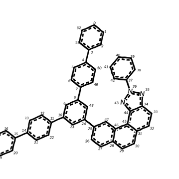 c1ccc(-c2ccc(-c3cc(-c4ccc(-c5ccccc5)cc4)cc(-c4ccc5ccc6ccc7nn(-c8ccccc8)nc7c6c5c4)c3)cc2)cc1